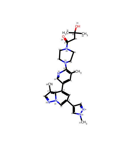 Cc1cc(-c2cc(-c3cnn(C)c3)cn3ncc(C#N)c23)cnc1N1CCN(C(=O)CC(C)(C)O)CC1